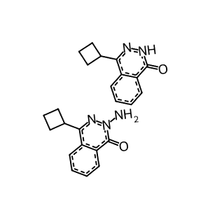 Nn1nc(C2CCC2)c2ccccc2c1=O.O=c1[nH]nc(C2CCC2)c2ccccc12